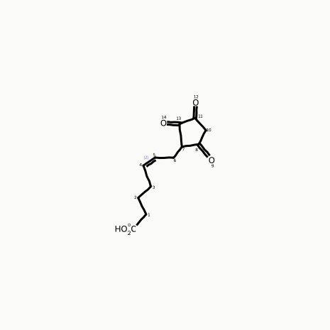 O=C(O)CCC/C=C\CC1C(=O)CC(=O)C1=O